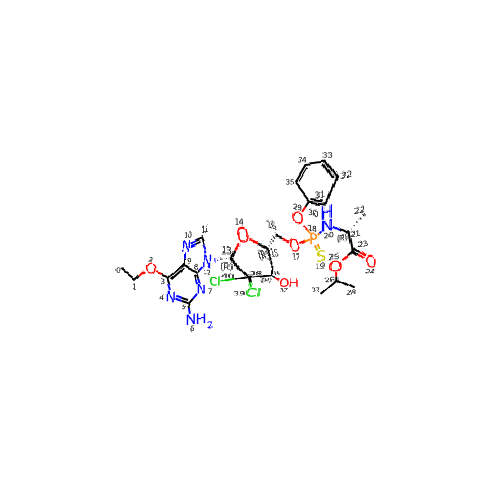 CCOc1nc(N)nc2c1ncn2[C@@H]1O[C@H](COP(=S)(N[C@H](C)C(=O)OC(C)C)Oc2ccccc2)[C@@H](O)C1(Cl)Cl